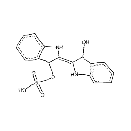 O=S(=O)(O)OC1/C(=C2\Nc3ccccc3C2O)Nc2ccccc21